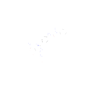 CCOc1c(C(=O)N(CC)CC)nc(-c2ccc(NC(=O)Nc3ccccc3)cc2)nc1N1CCOCC1